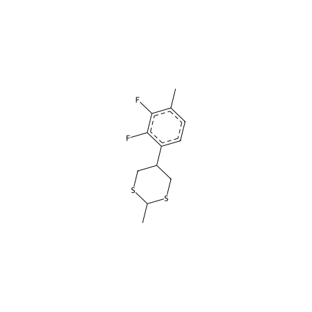 Cc1ccc(C2CSC(C)SC2)c(F)c1F